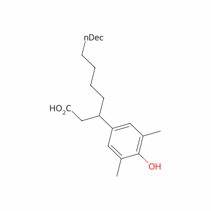 CCCCCCCCCCCCCCC(CC(=O)O)c1cc(C)c(O)c(C)c1